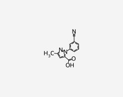 Cc1cc(C(=O)O)n(-c2cccc(C#N)c2)n1